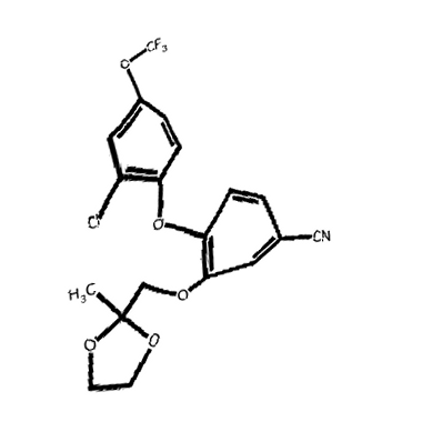 CC1(COc2cc(C#N)ccc2Oc2ccc(OC(F)(F)F)cc2Cl)OCCO1